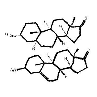 C[C@]12CC[C@@H](O)C[C@@H]1CC[C@@H]1[C@@H]2CC[C@]2(C)C(=O)CC[C@@H]12.C[C@]12CC[C@H](O)CC1=CC[C@@H]1[C@@H]2CC[C@]2(C)C(=O)CC[C@@H]12